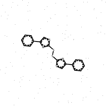 c1ccc(-c2csc(SSc3nc(-c4ccccc4)cs3)n2)cc1